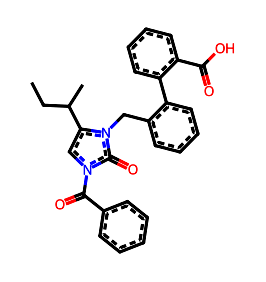 CCC(C)c1cn(C(=O)c2ccccc2)c(=O)n1Cc1ccccc1-c1ccccc1C(=O)O